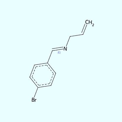 C=CC/N=C/c1ccc(Br)cc1